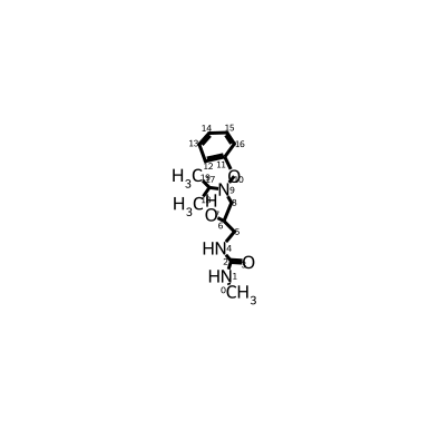 CNC(=O)NCC(O)CN(Oc1ccccc1)C(C)C